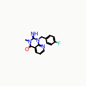 Cn1c(=O)c2cccnc2n(Cc2ccc(F)cc2)c1=N